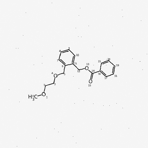 COCCOCc1ccccc1COC(=O)c1ccccc1